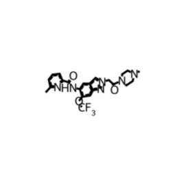 Cc1cccc(C(=O)Nc2cc3cn(CC(=O)N4CCN(C)CC4)nc3cc2OC(F)(F)F)n1